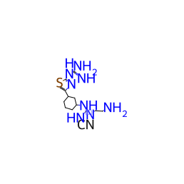 N#CN/C(=N/CCN)NC1CCCC(c2csc(NC(=N)N)n2)C1